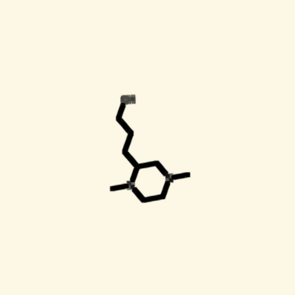 CN1CCN(C)C(CCCO)C1